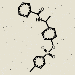 Cc1ccc(S(=O)(=O)Oc2ccc(C(C)NC(=O)c3ccccc3)cc2)cc1